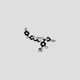 N#CCOc1cc(OC[C@H](O)CN2C[C@@H](Oc3ccc(Cl)cc3)CO2)c(C(=O)N2CC[C@H](O)C2)cc1Cl